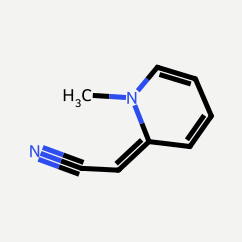 CN1C=CC=CC1=CC#N